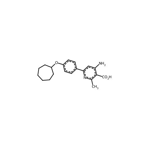 Cc1nc(-c2ccc(OC3CCCCCC3)cc2)cc(N)c1C(=O)O